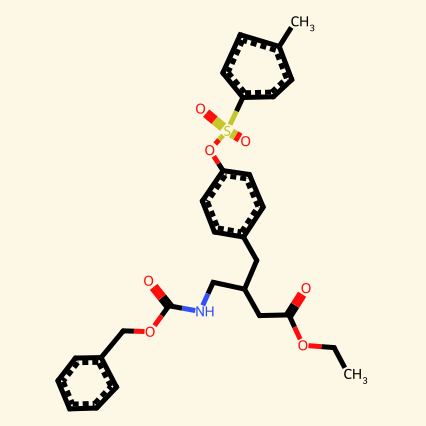 CCOC(=O)CC(CNC(=O)OCc1ccccc1)Cc1ccc(OS(=O)(=O)c2ccc(C)cc2)cc1